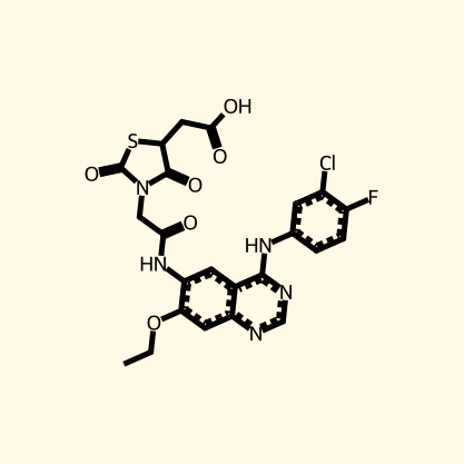 CCOc1cc2ncnc(Nc3ccc(F)c(Cl)c3)c2cc1NC(=O)CN1C(=O)SC(CC(=O)O)C1=O